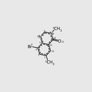 Cc1cc(Br)c2ncn(C)c(=O)c2c1